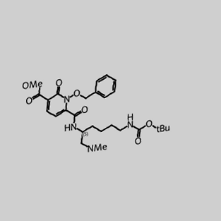 CNC[C@H](CCCCNC(=O)OC(C)(C)C)NC(=O)c1ccc(C(=O)OC)c(=O)n1OCc1ccccc1